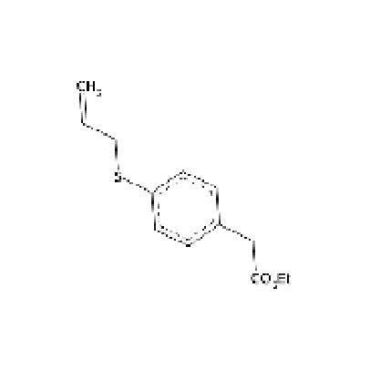 C=CCSc1ccc(CC(=O)OCC)cc1